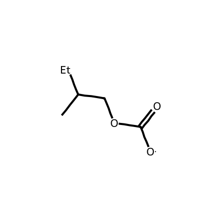 CCC(C)COC([O])=O